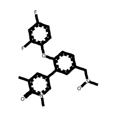 Cc1cc(-c2cc(C[S+](C)[O-])ccc2Oc2ccc(F)cc2F)cn(C)c1=O